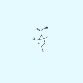 CC1(CCCl)C(C(=O)O)C1(Cl)Cl